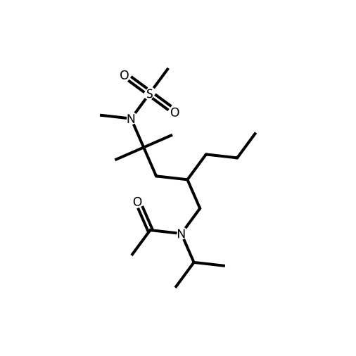 CCCC(CN(C(C)=O)C(C)C)CC(C)(C)N(C)S(C)(=O)=O